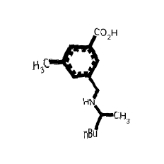 CCCCC(C)NCc1cc(C)cc(C(=O)O)c1